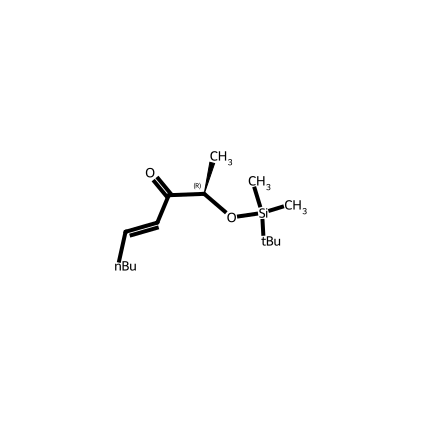 CCCCC=CC(=O)[C@@H](C)O[Si](C)(C)C(C)(C)C